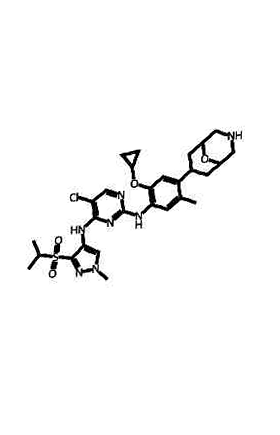 Cc1cc(Nc2ncc(Cl)c(Nc3cn(C)nc3S(=O)(=O)C(C)C)n2)c(OC2CC2)cc1C1CC2CNCC(C1)O2